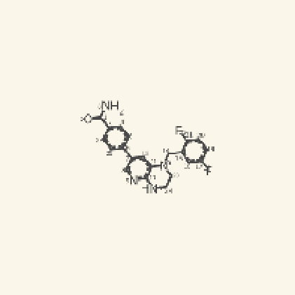 NC(=O)c1ccc(-c2cnc3c(c2)N(Cc2cc(F)ccc2F)CCN3)cc1